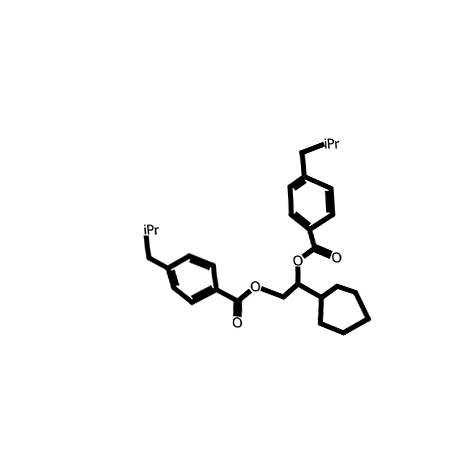 CC(C)Cc1ccc(C(=O)OCC(OC(=O)c2ccc(CC(C)C)cc2)C2CCCCC2)cc1